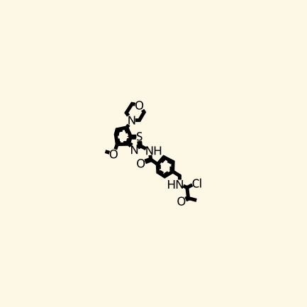 COc1ccc(N2CCOCC2)c2sc(NC(=O)c3ccc(CNC(Cl)C(C)=O)cc3)nc12